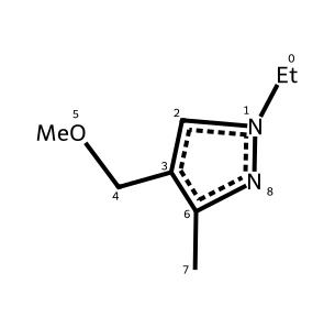 CCn1cc(COC)c(C)n1